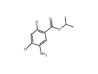 CC(C)OC(=O)c1cc(N)c(Cl)cc1Cl